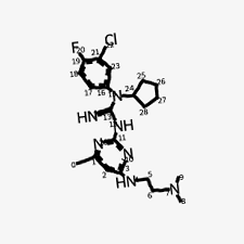 Cc1cc(NCCN(C)C)nc(NC(=N)N(c2ccc(F)c(Cl)c2)C2CCCC2)n1